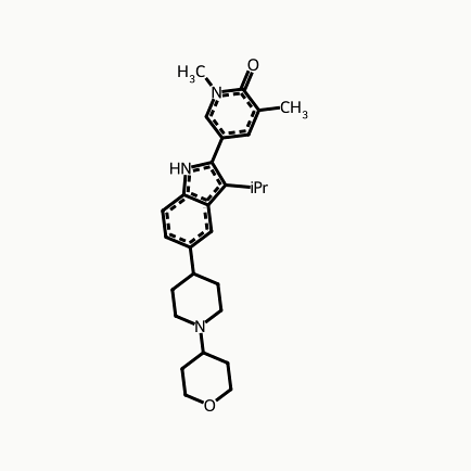 Cc1cc(-c2[nH]c3ccc(C4CCN(C5CCOCC5)CC4)cc3c2C(C)C)cn(C)c1=O